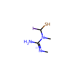 C/N=C(/N)N(C)C(S)I